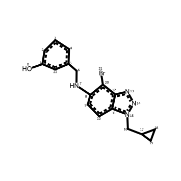 Oc1cccc(CNc2ccc3c(nnn3CC3CC3)c2Br)c1